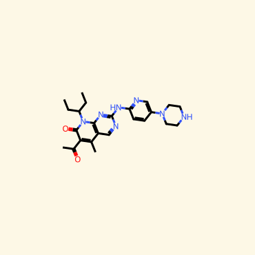 CCC(CC)n1c(=O)c(C(C)=O)c(C)c2cnc(Nc3ccc(N4CCNCC4)cn3)nc21